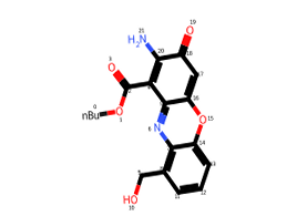 CCCCOC(=O)c1c2nc3c(CO)cccc3oc-2cc(=O)c1N